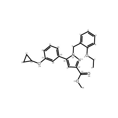 CCOc1ccccc1Cn1nc(C(=O)OC)cc1-c1cccc(OC2CC2)c1